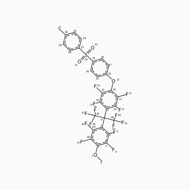 COc1c(F)c(F)c(C(c2c(F)c(F)c(Oc3ccc(S(=O)(=O)c4ccc(C)cc4)cc3)c(F)c2F)(C(F)(F)F)C(F)(F)F)c(F)c1F